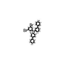 Brc1cc(Br)cc(N(c2ccc(-c3ccccc3)cc2)c2cccc(-c3ccccc3)c2)c1